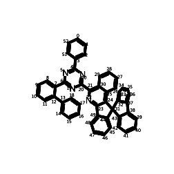 c1ccc(-c2nc(-c3ccccc3-c3ccccc3)nc(-c3nc4c(c5ccccc35)C3(c5ccccc5-c5ccccc53)c3ccccc3-4)n2)cc1